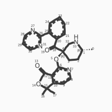 C[C@@H]1CC[C@](Oc2nccc3c2C(=O)OC3(C)C)(C(=O)c2ccccc2-c2ncccn2)CN1